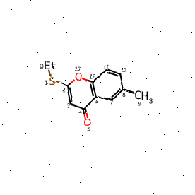 CCSc1cc(=O)c2cc(C)ccc2o1